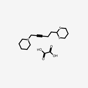 C(#CCN1CCCCC1)CCC1SCCCS1.O=C(O)C(=O)O